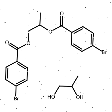 CC(COC(=O)c1ccc(Br)cc1)OC(=O)c1ccc(Br)cc1.CC(O)CO